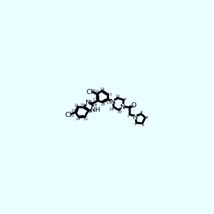 O=C(CN1CCCC1)N1CCN(c2ccc(Cl)c(-c3nc4cc(Cl)ccc4[nH]3)c2)CC1